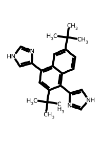 CC(C)(C)c1ccc2c(-c3c[nH]cn3)c(C(C)(C)C)cc(-c3c[nH]cn3)c2c1